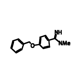 CNC(=N)c1ccc(OCc2ccccc2)cc1